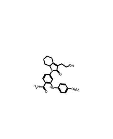 COc1ccc(Nc2cc(N3C(=O)C(CCO)=C4CCCCC43)ccc2C(N)=O)cc1